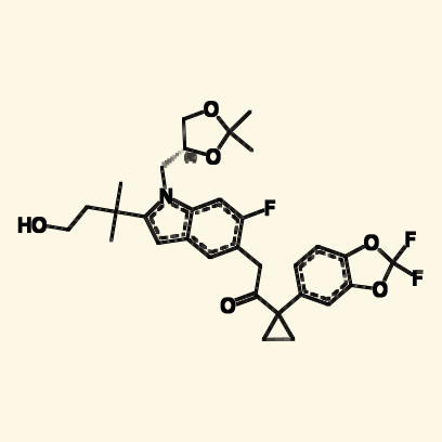 CC1(C)OC[C@@H](Cn2c(C(C)(C)CCO)cc3cc(CC(=O)C4(c5ccc6c(c5)OC(F)(F)O6)CC4)c(F)cc32)O1